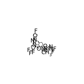 CCN([C@H]1CCC2=Cc3c(cnn3-c3ccc(F)cc3)C[C@]2(C(=O)c2cc(C(F)(F)F)ccn2)C1)S(=O)(=O)c1cnn(C(F)F)c1